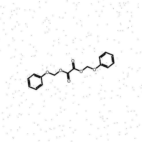 O=C(OCOc1ccccc1)C(=O)OCOc1ccccc1